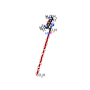 CCC1=CC(C)(C)N(CC)c2cc3c(cc21)C(c1nccn1CCCCCC(=O)NCCOCCOCCOCCOCCOCCOCCOCCOCCOCCOCCOCCOC(=O)O)=c1cc2c(cc1O3)=[N+](CC)C(C)(C)C=C2CS(=O)(=O)O